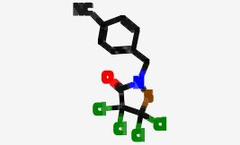 N#Cc1ccc(CN2SC(Cl)(Cl)C(Cl)(Cl)C2=O)cc1